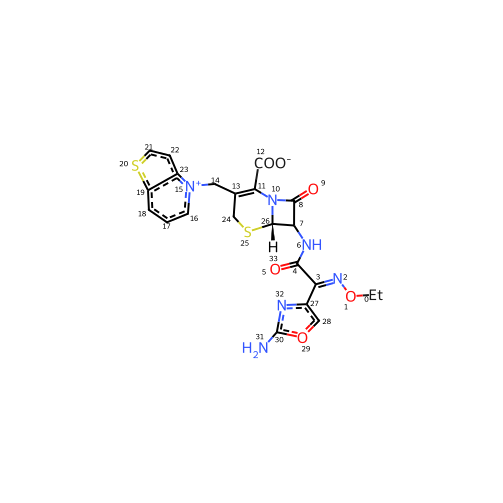 CCON=C(C(=O)NC1C(=O)N2C(C(=O)[O-])=C(C[n+]3cccc4sccc43)CS[C@@H]12)c1coc(N)n1